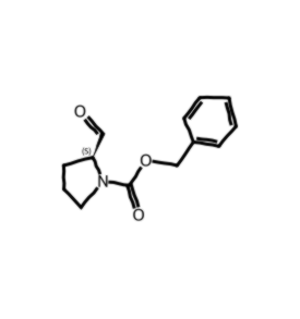 O=C[C@@H]1CCCN1C(=O)OCc1ccccc1